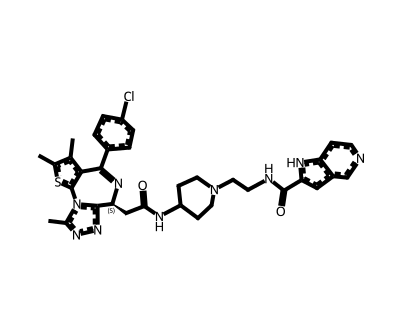 Cc1sc2c(c1C)C(c1ccc(Cl)cc1)=N[C@@H](CC(=O)NC1CCN(CCNC(=O)c3cc4cnccc4[nH]3)CC1)c1nnc(C)n1-2